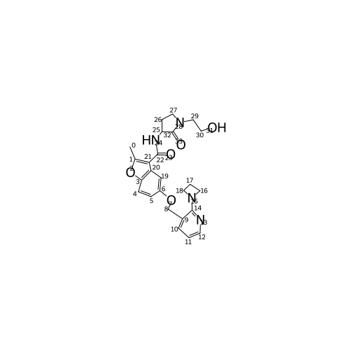 Cc1oc2ccc(OCc3cccnc3N3CCC3)cc2c1C(=O)NC1CCN(CCO)C1=O